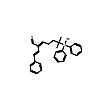 CC(C)(CC/C=C(C=O)\C=C\c1ccccc1)[Si](O)(c1ccccc1)c1ccccc1